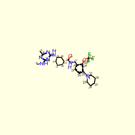 CNc1nc(C)nc(N[C@H]2CCC[C@@H](C(=O)NCc3ccc(N4CCCCC4)cc3OC(F)(F)F)C2)n1